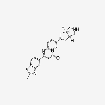 Cc1nc2cc(-c3cc(=O)n4cc(N5C[C@H]6CNC[C@H]6C5)ccc4n3)ccc2s1